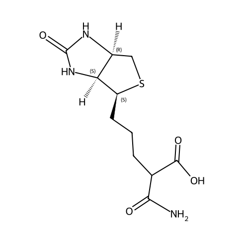 NC(=O)C(CCC[C@@H]1SC[C@@H]2NC(=O)N[C@@H]21)C(=O)O